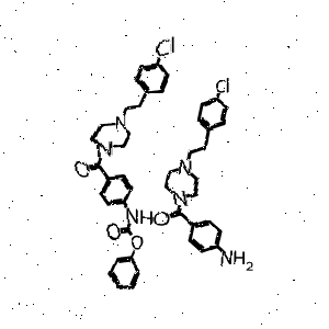 Nc1ccc(C(=O)N2CCN(CCc3ccc(Cl)cc3)CC2)cc1.O=C(Nc1ccc(C(=O)N2CCN(CCc3ccc(Cl)cc3)CC2)cc1)Oc1ccccc1